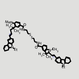 CCn1c2c(c3cc(/C=C/CC(C)(C)c4cc(C(=O)NCCSSCCNC(=O)c5ccc6c(c5)C(C)(C)C(/C=C/c5ccc7c(c5)c5c(n7CC)CCC=C5)=[N+]6C)ccc4NC)ccc31)C=CCC2